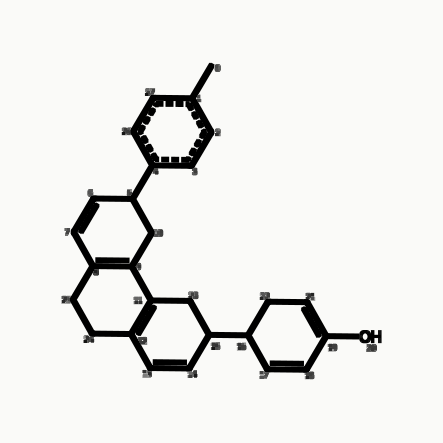 Cc1ccc(C2C=CC3=C(C2)C2=C(C=CC(C4C=CC(O)=CC4)C2)CC3)cc1